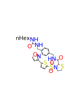 CCCCCCNC(=O)NCc1ccc(CNC(=O)C2SCCN2S(=O)(=O)c2ccc(-c3ccon3)s2)cc1